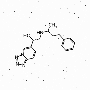 CC(CCc1ccccc1)NCC(O)c1ccc2nnnn2c1